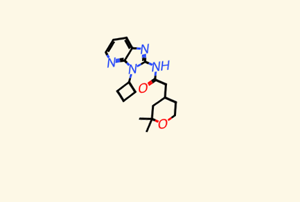 CC1(C)CC(CC(=O)Nc2nc3cccnc3n2C2CCC2)CCO1